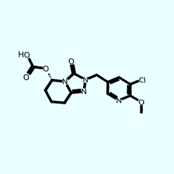 COc1ncc(Cn2nc3n(c2=O)[C@@H](OC(=O)O)CCC3)cc1Cl